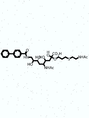 CC(=O)NCCSCCCOC(O)(CC(O)C(C[C@@H](O)C(O)CNC(=O)c1ccc(-c2ccccc2)cc1)NC(C)=O)C(=O)O